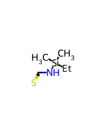 CC[Si](C)(C)NC=S